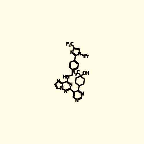 CC(C)n1cc(C(F)(F)F)nc1-c1ccc(CNc2nc(-c3cncnc3C3CCC(C)(O)CC3)nn3ccnc23)cc1